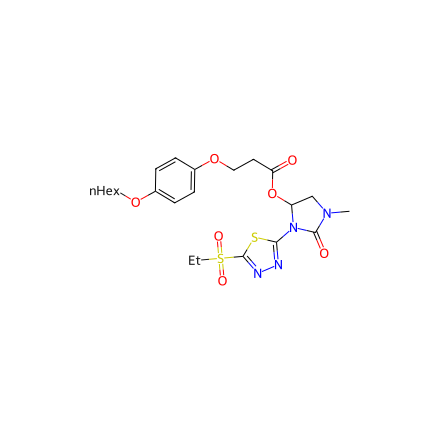 CCCCCCOc1ccc(OCCC(=O)OC2CN(C)C(=O)N2c2nnc(S(=O)(=O)CC)s2)cc1